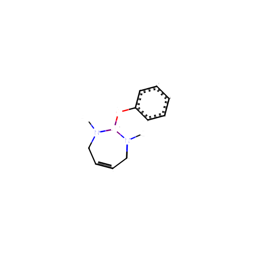 CCN1CC=CCN(CC)P1Oc1ccccc1